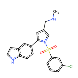 CNCc1cc(-c2ccc3[nH]ccc3c2)n(S(=O)(=O)c2cccc(Cl)c2)c1